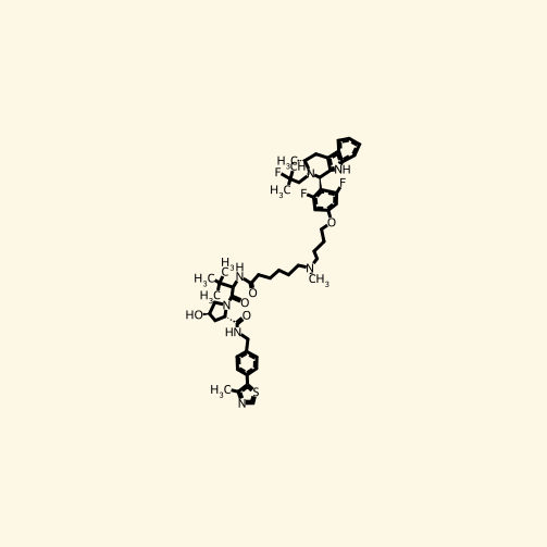 Cc1ncsc1-c1ccc(CNC(=O)[C@@H]2C[C@@H](O)CN2C(=O)C(NC(=O)CCCCCN(C)CCCCOc2cc(F)c([C@@H]3c4[nH]c5ccccc5c4C[C@@H](C)N3CC(C)(C)F)c(F)c2)C(C)(C)C)cc1